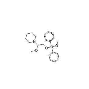 COC(CO[Si](OC)(c1ccccc1)c1ccccc1)N1CCCCC1